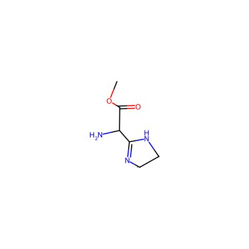 COC(=O)C(N)C1=N[CH]CN1